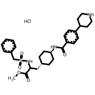 COC(=O)C(C[C@H]1CC[C@H](NC(=O)c2ccc(C3CCNCC3)cc2)CC1)NS(=O)(=O)Cc1ccccc1.Cl